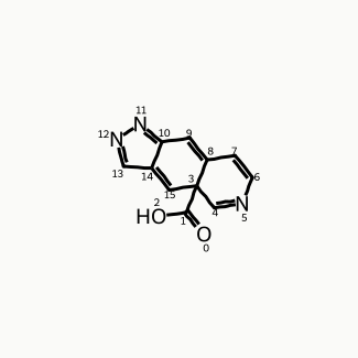 O=C(O)C12C=NC=CC1=CC1=NN=CC1=C2